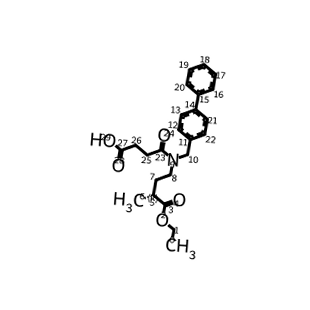 CCOC(=O)[C@H](C)CCN(Cc1ccc(-c2ccccc2)cc1)C(=O)CCC(=O)O